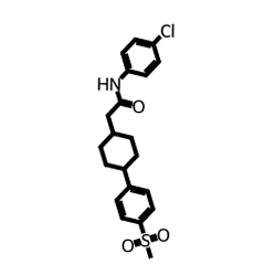 CS(=O)(=O)c1ccc(C2CCC(CC(=O)Nc3ccc(Cl)cc3)CC2)cc1